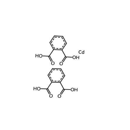 O=C(O)c1ccccc1C(=O)O.O=C(O)c1ccccc1C(=O)O.[Cd]